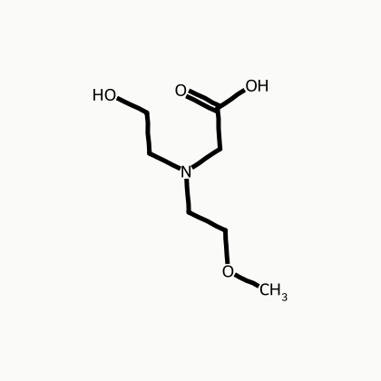 COCCN(CCO)CC(=O)O